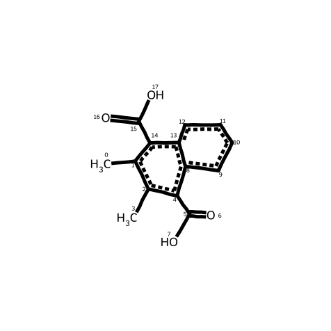 Cc1c(C)c(C(=O)O)c2ccccc2c1C(=O)O